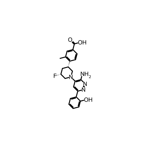 Cc1cc(C(=O)O)ccc1[C@H]1C[C@@H](F)CN(c2cc(-c3ccccc3O)nnc2N)C1